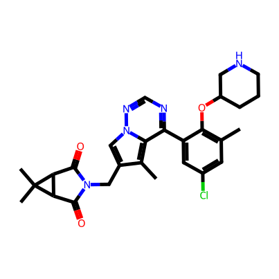 Cc1cc(Cl)cc(-c2ncnn3cc(CN4C(=O)C5C(C4=O)C5(C)C)c(C)c23)c1OC1CCCNC1